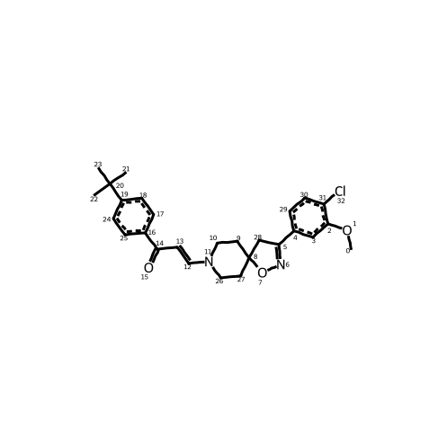 COc1cc(C2=NOC3(CCN(C=CC(=O)c4ccc(C(C)(C)C)cc4)CC3)C2)ccc1Cl